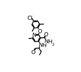 CCC(C=O)Nc1cc(C)nc(Oc2c(C)cc(Cl)cc2C)c1C(N)=O